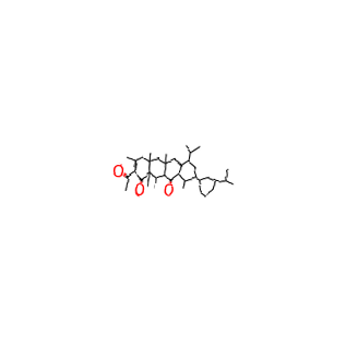 CC(=O)C1=C(C)CC2(C)CC3(C)CC4C(C(C)C)CC(C5CCCC(C(C)C)C5)C(C)C4C(=O)C3C(C)C2(C)C1=O